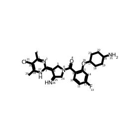 CC1=N/C(=C2\CN(C(=O)c3ccc(F)cc3OC3CCC(N)CC3)CC2=N)NC(C)=C1Cl